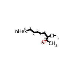 CCCCCCCCCCCC(C)C(C)[O]